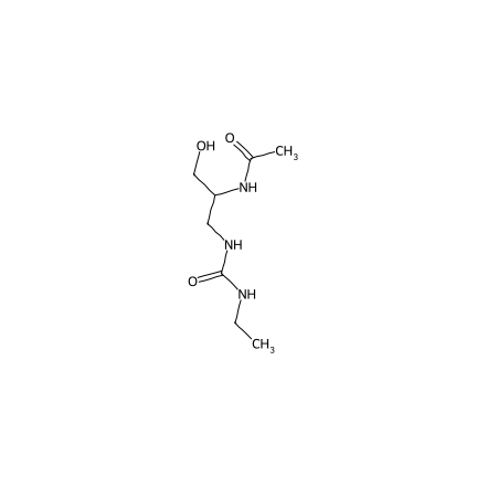 CCNC(=O)NCC(CO)NC(C)=O